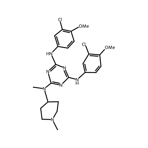 COc1ccc(Nc2nc(Nc3ccc(OC)c(Cl)c3)nc(N(C)C3CCN(C)CC3)n2)cc1Cl